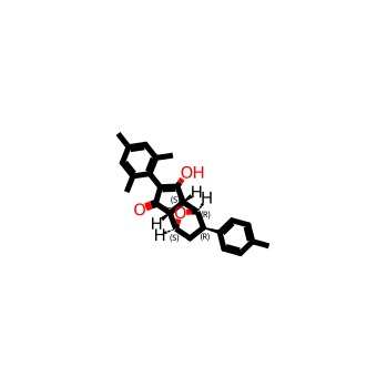 Cc1ccc([C@H]2C[C@@H]3O[C@H]2[C@H]2C(O)=C(c4c(C)cc(C)cc4C)C(=O)[C@H]23)cc1